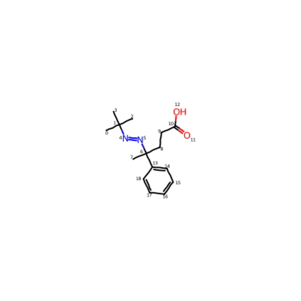 CC(C)(C)N=NC(C)(CCC(=O)O)c1ccccc1